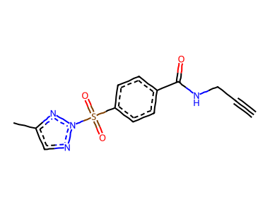 C#CCNC(=O)c1ccc(S(=O)(=O)n2ncc(C)n2)cc1